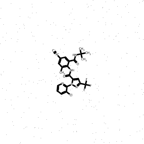 [C-]#[N+]c1cc(C)c(NC(=O)c2cc(C(F)(F)F)nn2-c2ncccc2Cl)c(C(=O)NC(C)(C)C)c1